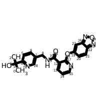 CC(C)(O)c1ccc(CNC(=O)c2cccnc2Oc2ccc3nonc3c2)cn1